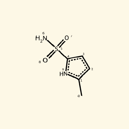 Cc1ccc(S(N)(=O)=O)[nH]1